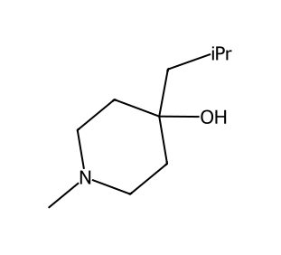 CC(C)CC1(O)CCN(C)CC1